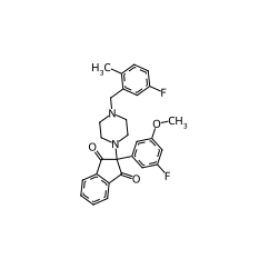 COc1cc(F)cc(C2(N3CCN(Cc4cc(F)ccc4C)CC3)C(=O)c3ccccc3C2=O)c1